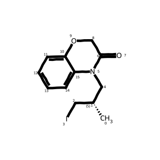 C[C@H](CI)CN1C(=O)COc2ccccc21